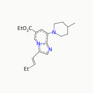 CCC=Cc1cnc2c(N3CCC(C)CC3)cc(C(=O)OCC)cn12